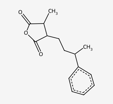 CC(CCC1C(=O)OC(=O)C1C)c1ccccc1